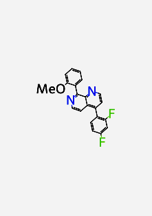 COc1ccccc1-c1nccc2c(-c3ccc(F)cc3F)ccnc12